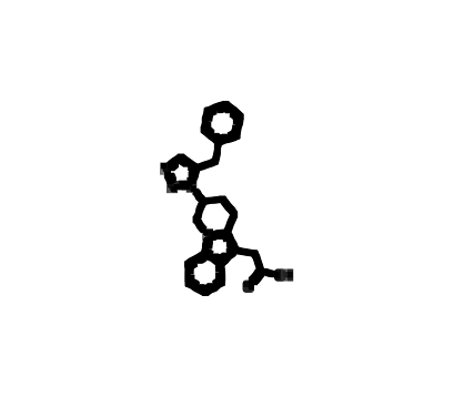 O=C(O)Cc1c2n(c3ccccc13)CC(n1nncc1Cc1ccccc1)CC2